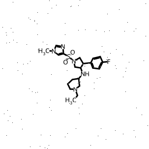 CCN1CCCC(NC2CN(S(=O)(=O)c3cn(C)cn3)CC2c2ccc(F)cc2)C1